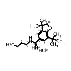 CCCCNC(=N)c1cc(C(C)(C)C)c2c(c1)C(C)(C)CO2.Cl